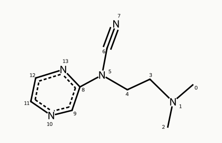 CN(C)CCN(C#N)c1cnccn1